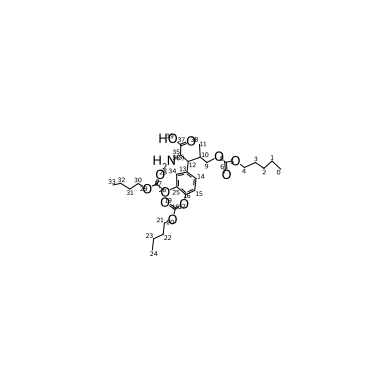 CCCCCOC(=O)OCC(C)C(c1ccc(OC(=O)OCCCC)c(OC(=O)OCCCC)c1)[C@H](N)C(=O)O